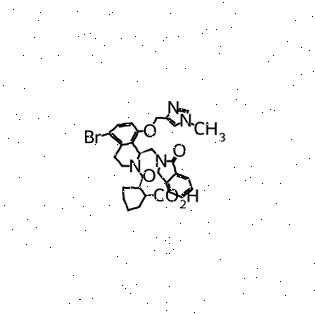 Cn1cnc(COc2ccc(Br)c3c2[C@@H](CN2Cc4ccccc4C2=O)N(C(=O)[C@@H]2CCCC[C@@H]2C(=O)O)CC3)c1